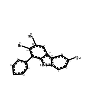 CC(C)(C)c1ccc2[nH]c3c(-c4ccccc4)c(Br)c(C(C)(C)C)cc3c2c1